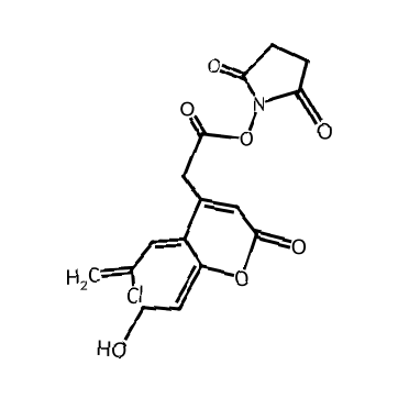 C=C(Cl)/C=c1/c(CC(=O)ON2C(=O)CCC2=O)cc(=O)o/c1=C/CO